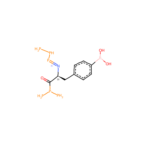 O=C([C@H](Cc1ccc(B(O)O)cc1)/N=P/PP)P(P)P